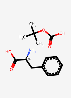 CC(C)(C)OC(=O)O.N[C@@H](Cc1ccccc1)C(=O)O